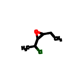 CCC1OC1C(C)Cl